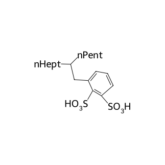 CCCCCCCC(CCCCC)Cc1cccc(S(=O)(=O)O)c1S(=O)(=O)O